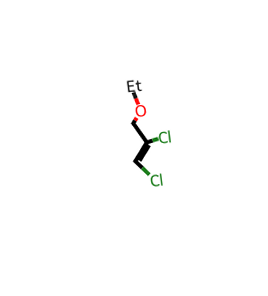 CCOCC(Cl)=CCl